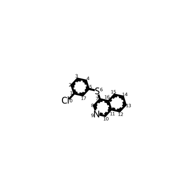 Clc1cccc(Sc2cncc3ccccc23)c1